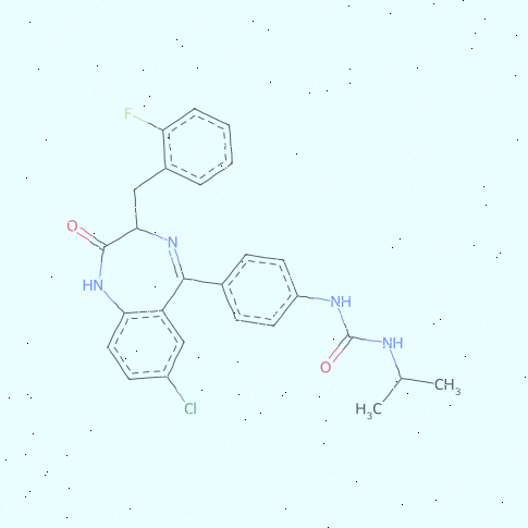 CC(C)NC(=O)Nc1ccc(C2=NC(Cc3ccccc3F)C(=O)Nc3ccc(Cl)cc32)cc1